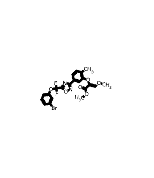 CO/C=C(\Oc1cc(-c2noc(C(F)(F)Oc3cccc(Br)c3)n2)ccc1C)C(=O)OC